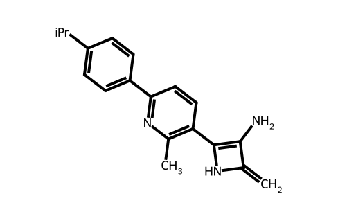 C=C1NC(c2ccc(-c3ccc(C(C)C)cc3)nc2C)=C1N